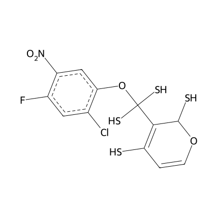 O=[N+]([O-])c1cc(OC(S)(S)C2=C(S)C=COC2S)c(Cl)cc1F